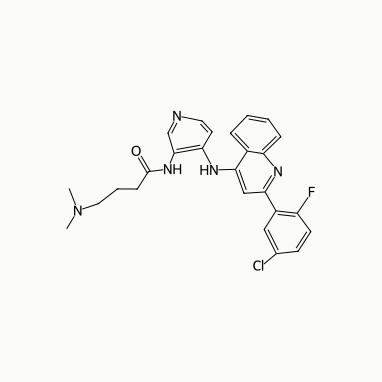 CN(C)CCCC(=O)Nc1cnccc1Nc1cc(-c2cc(Cl)ccc2F)nc2ccccc12